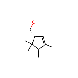 CC1=C[C@@H](CO)C(C)(C)[C@@H]1C